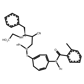 CCCN(CC(C#N)[C@H](Cc1ccccc1)NCC(=O)O)SC1=CC=C(N(C(C)=O)C(=O)c2ccccc2C)C=CC1